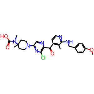 COc1ccc(CNc2nccc(C(=O)c3ncc(N4CCC(C)(N(C)C(=O)O)CC4)nc3Cl)c2C)cc1